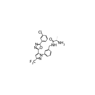 C[C@H](N)C(=O)NCc1cccc(-n2nc(C(F)(F)F)cc2-c2nnc(-c3cccc(Cl)c3)o2)c1